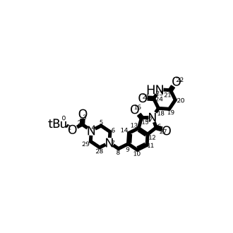 CC(C)(C)OC(=O)N1CCN(Cc2ccc3c(c2)C(=O)N(C2CCC(=O)NC2=O)C3=O)CC1